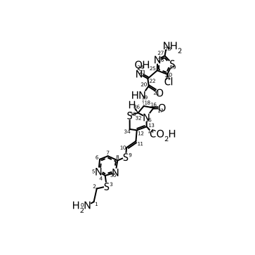 NCCSc1nccc(SC=CC2=C(C(=O)O)N3C(=O)[C@@H](NC(=O)C(=NO)c4nc(N)sc4Cl)[C@H]3SC2)n1